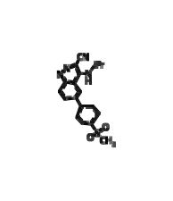 CC(C)Nc1c(C#N)nnc2ccc(-c3ccc(S(C)(=O)=O)cc3)cc12